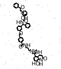 O=C(NC(c1ccccc1)c1cccc(OCc2ccc(C(=O)NCCCNCC(O)c3ccc(O)c4[nH]c(=O)ccc34)cc2)c1)O[C@H]1C[N+]2(CC(=O)c3ccccc3)CCC1CC2